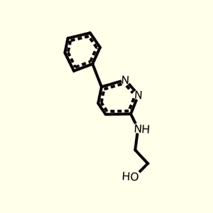 OCCNc1ccc(-c2ccccc2)nn1